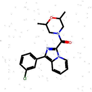 CC1CN(C(=O)c2nc(-c3cccc(Cl)c3)c3ccccn23)CC(C)O1